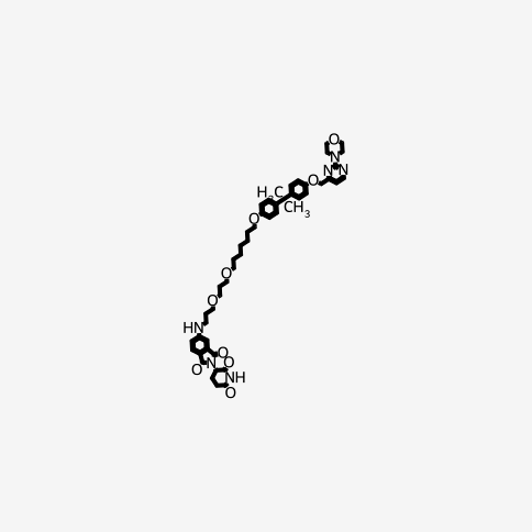 CC(C)(c1ccc(OCCCCCCCOCCCOCCCNc2ccc3c(c2)C(=O)N(C2CCC(=O)NC2=O)C3=O)cc1)c1ccc(OCc2ccnc(N3CCOCC3)n2)cc1